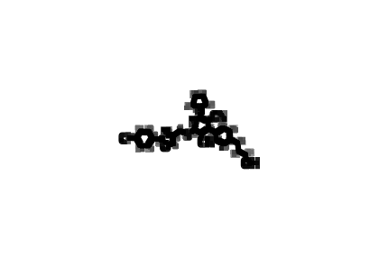 N#Cc1c(SCc2coc(-c3ccc(Cl)cc3)n2)nc(N2CCCC2)c(C#N)c1-c1ccc(CCCO)cc1